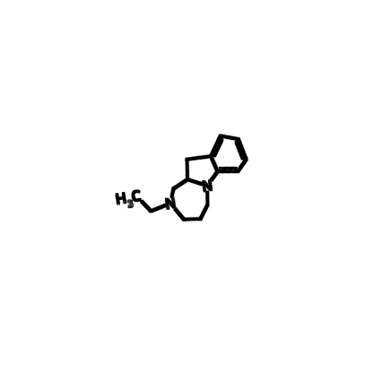 CCN1CCCN2c3ccccc3CC2C1